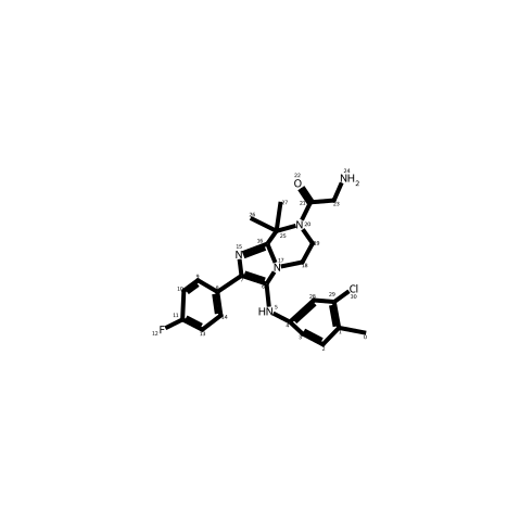 Cc1ccc(Nc2c(-c3ccc(F)cc3)nc3n2CCN(C(=O)CN)C3(C)C)cc1Cl